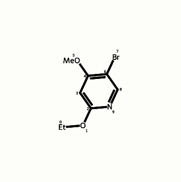 CCOc1cc(OC)c(Br)cn1